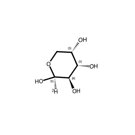 [2H][C@]1(O)OC[C@H](O)[C@H](O)[C@H]1O